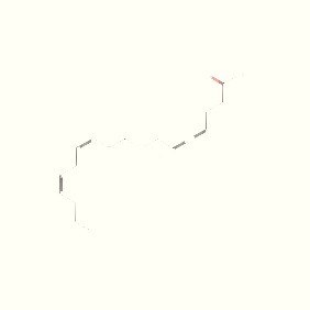 CCC/C=C\C/C=C\CCOCC=C=CCCC(=O)O